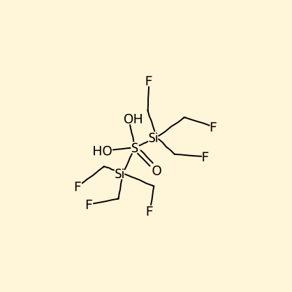 O=S(O)(O)([Si](CF)(CF)CF)[Si](CF)(CF)CF